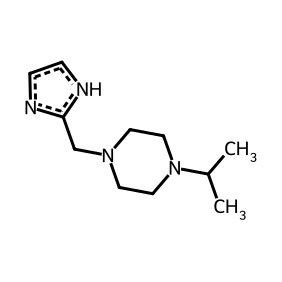 CC(C)N1CCN(Cc2ncc[nH]2)CC1